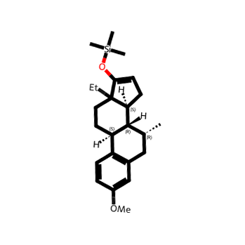 CCC12CC[C@@H]3c4ccc(OC)cc4C[C@@H](C)[C@H]3[C@@H]1CC=C2O[Si](C)(C)C